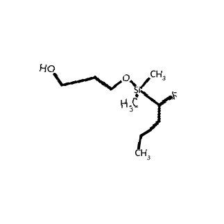 CCCC(F)[Si](C)(C)OCCCO